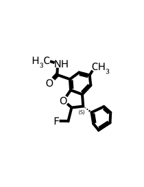 CNC(=O)c1cc(C)cc2c1OC(CF)[C@H]2c1ccccc1